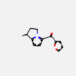 O=C(c1ccco1)c1ccc2n1CCC2C(=O)[O-].[Na+]